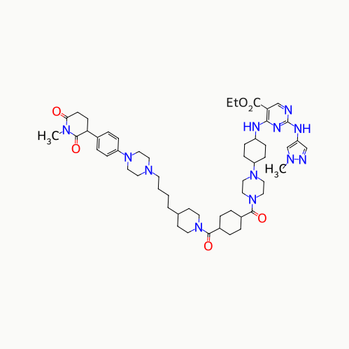 CCOC(=O)c1cnc(Nc2cnn(C)c2)nc1NC1CCC(N2CCN(C(=O)C3CCC(C(=O)N4CCC(CCCCN5CCN(c6ccc(C7CCC(=O)N(C)C7=O)cc6)CC5)CC4)CC3)CC2)CC1